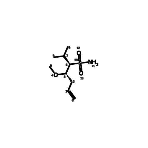 C=CC[C@H](OC)[C@@H](C(C)C)S(N)(=O)=O